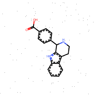 O=C(O)c1ccc(C2NCCc3c2[nH]c2ccccc32)cc1